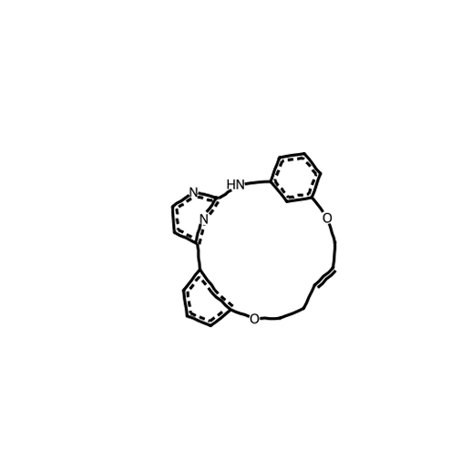 C1=C/COc2cccc(c2)Nc2nccc(n2)-c2cccc(c2)OCC/1